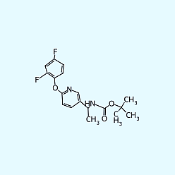 CC(NC(=O)OC(C)(C)C)c1ccc(Oc2ccc(F)cc2F)nc1